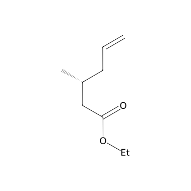 C=CC[C@@H](C)CC(=O)OCC